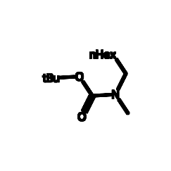 CCCCCCCN(C)C(=O)OC(C)(C)C